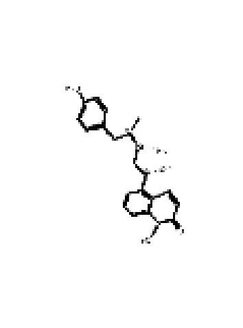 COc1ccc(C[C@@H](C)NC[C@H](O)c2cccc3c2ccc(=O)n3O)cc1.Cl